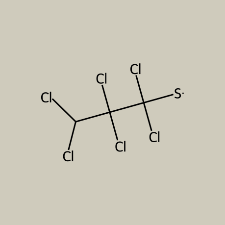 [S]C(Cl)(Cl)C(Cl)(Cl)C(Cl)Cl